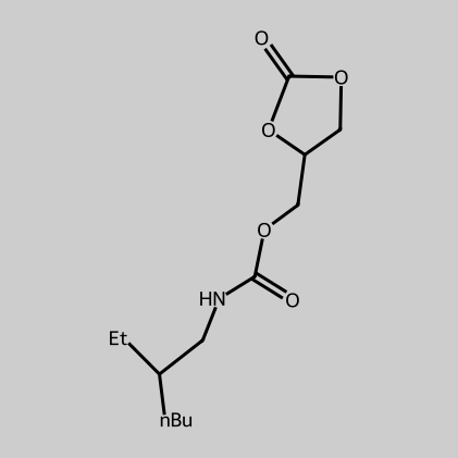 CCCCC(CC)CNC(=O)OCC1COC(=O)O1